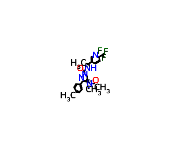 CC(=O)N(C)[C@@H]1CN(C(=O)N[C@@H](C)c2ccc(C(F)(F)F)nc2)N=C1c1ccc(C)cc1